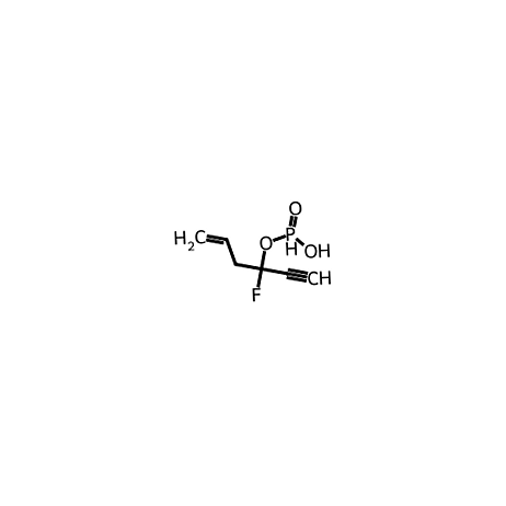 C#CC(F)(CC=C)O[PH](=O)O